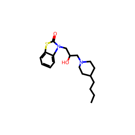 CCCCC1CCN(CC(O)Cn2c(=O)sc3ccccc32)CC1